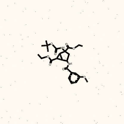 CCOC(=O)C1C2C(NC(=O)c3cccc(OC)c3)CC(NC(=O)OC(C)(C)C)(C(=O)OCC)C12